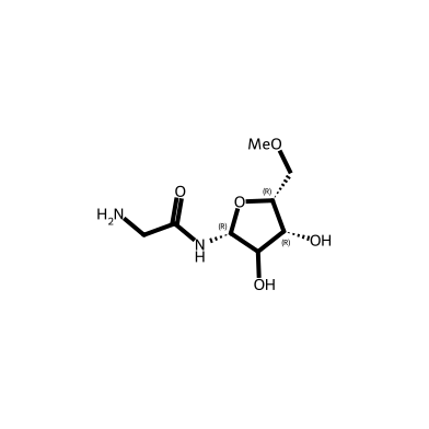 COC[C@H]1O[C@@H](NC(=O)CN)C(O)[C@H]1O